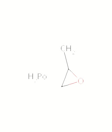 [CH2]C1CO1.[PoH2]